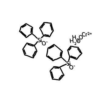 O.O.[Cr+2].[O-][Si](c1ccccc1)(c1ccccc1)c1ccccc1.[O-][Si](c1ccccc1)(c1ccccc1)c1ccccc1